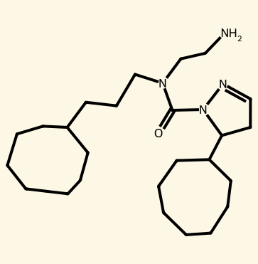 NCCN(CCCC1CCCCCCC1)C(=O)N1N=CCC1C1CCCCCCC1